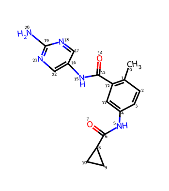 Cc1ccc(NC(=O)C2CC2)cc1C(=O)Nc1cnc(N)nc1